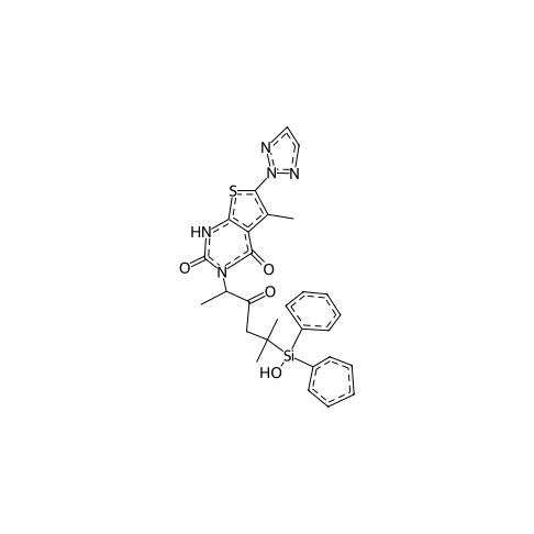 Cc1c(-n2nccn2)sc2[nH]c(=O)n(C(C)C(=O)CC(C)(C)[Si](O)(c3ccccc3)c3ccccc3)c(=O)c12